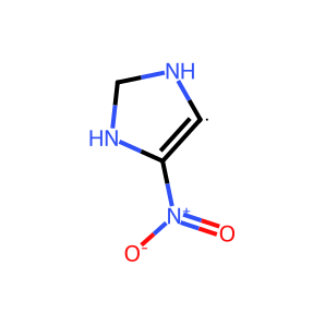 O=[N+]([O-])C1=[C]NCN1